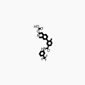 Cc1ccc(C(=O)Nc2cccc(C(F)(F)F)c2)cc1-c1ccc2cc(OC(=O)O)ncc2c1